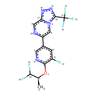 C[C@H](Oc1ncc(-c2cn3c(C(F)(F)F)nnc3cn2)cc1F)C(F)F